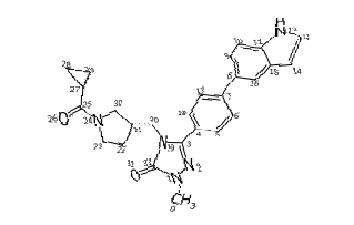 Cn1nc(-c2ccc(-c3ccc4[nH]ccc4c3)cc2)n(C[C@@H]2CCN(C(=O)C3CC3)C2)c1=O